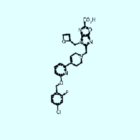 O=C(O)c1nc2c(nc(CN3CC=C(c4cccc(OCc5ccc(Cl)cc5F)n4)CC3)n2CC2CCO2)o1